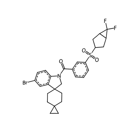 O=C(c1cccc(S(=O)(=O)C2CC3C(C2)C3(F)F)c1)N1CC2(CCC3(CC3)CC2)c2cc(Br)ccc21